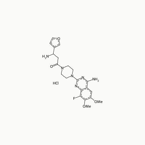 COc1cc2c(N)nc(N3CCN(C(=O)CC(N)c4ccoc4)CC3)nc2c(F)c1OC.Cl